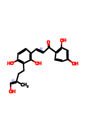 C/C(=C\O)CCc1c(O)ccc(/C=C/C(=O)c2ccc(O)cc2O)c1O